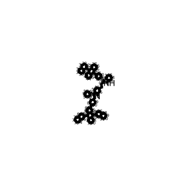 C1=CC(c2nc3cc(CCC4Nc5ccccc5N4c4ccc(-c5c6ccccc6c(-c6cccc7ccccc67)c6ccccc56)cc4)ccc3n2-c2ccccc2)CC=C1c1ccc2c(-c3ccc4ccccc4c3)c3ccccc3c(-c3ccc4ccccc4c3)c2c1